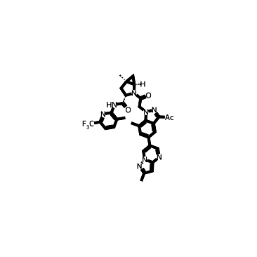 CC(=O)c1nn(CC(=O)N2[C@H](C(=O)Nc3nc(C(F)(F)F)ccc3C)C[C@@]3(C)C[C@@H]23)c2c(C)cc(-c3cnc4cc(C)nn4c3)cc12